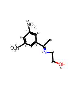 C/C(=N\CCO)c1cc([N+](=O)[O-])cc([N+](=O)[O-])c1